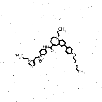 CCCOCCOc1ccc(-c2ccc3c(c2)/C=C(/C(=O)Nc2ccc([S+]([O-])Cc4cncn4CCC)cc2)CCCN3CCC)cc1